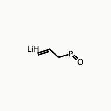 C=CCP=O.[LiH]